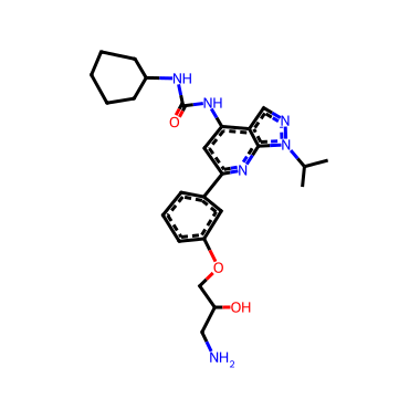 CC(C)n1ncc2c(NC(=O)NC3CCCCC3)cc(-c3cccc(OCC(O)CN)c3)nc21